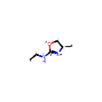 CCNC1=N[C@H](C)CO1